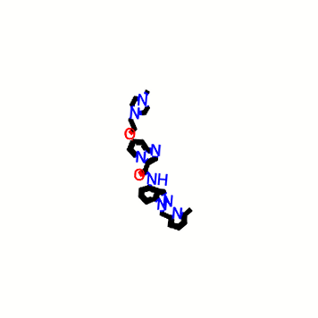 Cc1cccc(Cn2ncc3c(NC(=O)c4cnc5cc(OCCN6CCN(C)CC6)ccn45)cccc32)n1